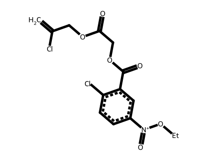 C=C(Cl)COC(=O)COC(=O)c1cc([N+](=O)OCC)ccc1Cl